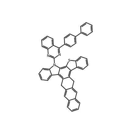 c1ccc(-c2ccc(-c3nc(-n4c5ccccc5c5c6c(c7c8ccccc8sc7c54)Cc4cc5ccccc5cc4C6)nc4ccccc34)cc2)cc1